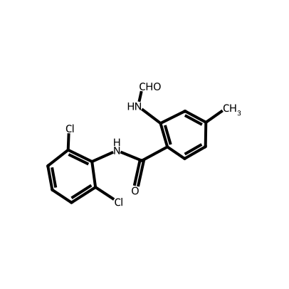 Cc1ccc(C(=O)Nc2c(Cl)cccc2Cl)c(NC=O)c1